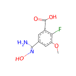 COc1cc(/C(N)=N/O)cc(C(=O)O)c1F